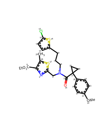 CCOC(=O)c1nc(CN(CCCc2ccc(Cl)s2)C(=O)C2(c3ccc(OC)cc3)CC2)sc1C